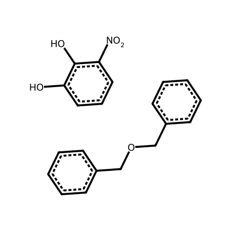 O=[N+]([O-])c1cccc(O)c1O.c1ccc(COCc2ccccc2)cc1